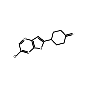 O=C1CCC(c2cc3ncc(Cl)nc3s2)CC1